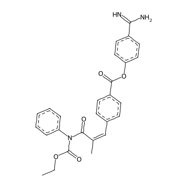 CCOC(=O)N(C(=O)C(C)=Cc1ccc(C(=O)Oc2ccc(C(=N)N)cc2)cc1)c1ccccc1